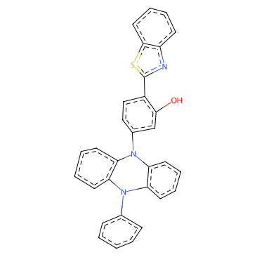 Oc1cc(N2c3ccccc3N(c3ccccc3)c3ccccc32)ccc1-c1nc2ccccc2s1